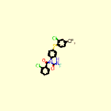 O=C(NF)N(C(=O)c1ccccc1Cl)c1ccc(Sc2ccc(C(F)(F)F)cc2Cl)cc1